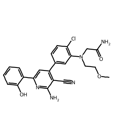 COCCN(CC(N)=O)c1cc(-c2cc(-c3ccccc3O)nc(N)c2C#N)ccc1Cl